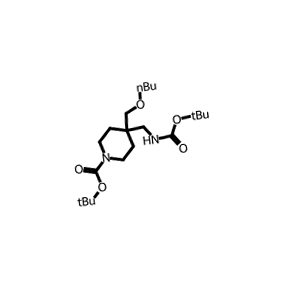 CCCCOCC1(CNC(=O)OC(C)(C)C)CCN(C(=O)OC(C)(C)C)CC1